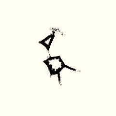 N[C@@H]1C[C@H]1c1ccc(F)c(I)c1